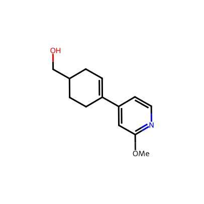 COc1cc(C2=CCC(CO)CC2)ccn1